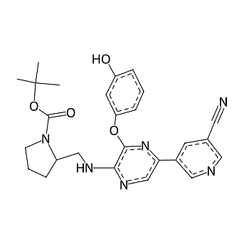 CC(C)(C)OC(=O)N1CCCC1CNc1ncc(-c2cncc(C#N)c2)nc1Oc1cccc(O)c1